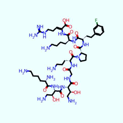 N=C(N)NCC/C=C(\NC(=O)[C@H](CCCCN)NC(=O)[C@H](CCc1cccc(F)c1)NC(=O)[C@@H]1CCCN1C(=O)[C@@H](CCCN)NC(=O)CNC(=O)[C@@H](NC(=O)[C@@H](NC(=O)[C@@H](N)CCCCN)[C@@H](O)CN)[C@@H](O)CN)C(=O)O